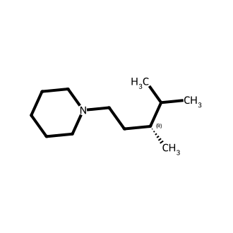 CC(C)[C@H](C)CCN1CCCCC1